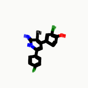 N#Cc1c(-c2ccc(O)c(Br)c2)cc(-c2ccc(F)cc2)[nH]c1=N